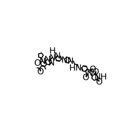 CC(=O)c1c(C)c2cnc(Nc3ccc(N4CCN(CCCNc5ccc6c(c5)C(=O)N(C5CCC(=O)NC5=O)C6=O)CC4)cn3)nc2n(C2CCCC2)c1=O